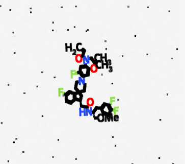 C=CC(=O)N1CC(C)(C)Oc2cc(N3CCC4(CC3)C[C@@H](CC(=O)N[C@@H](COC)Cc3ccc(F)c(F)c3)c3ccc(F)cc34)c(F)cc21